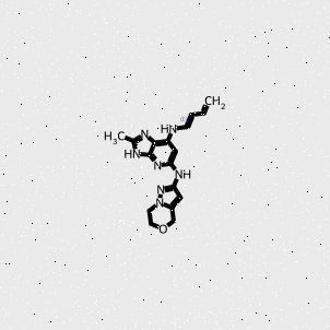 C=C/C=C/Nc1cc(Nc2cc3n(n2)CCOC3)nc2[nH]c(C)nc12